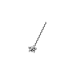 CCCCCCCCCCCCCCCCCCOC(=O)C(O)(C(F)(F)F)C(F)(F)F